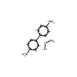 CCOP.Nc1ccc(-c2ccc(N)cc2)cc1